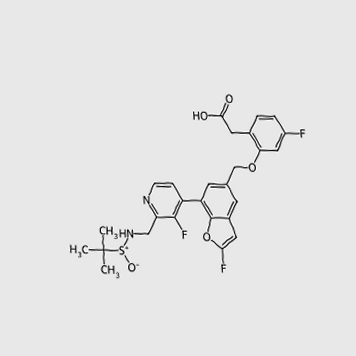 CC(C)(C)[S+]([O-])NCc1nccc(-c2cc(COc3cc(F)ccc3CC(=O)O)cc3cc(F)oc23)c1F